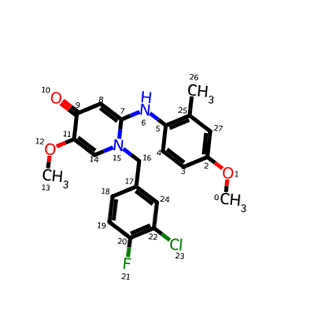 COc1ccc(Nc2cc(=O)c(OC)cn2Cc2ccc(F)c(Cl)c2)c(C)c1